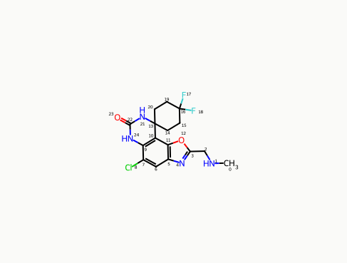 CNCc1nc2cc(Cl)c3c(c2o1)C1(CCC(F)(F)CC1)NC(=O)N3